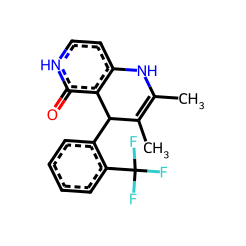 CC1=C(C)C(c2ccccc2C(F)(F)F)c2c(cc[nH]c2=O)N1